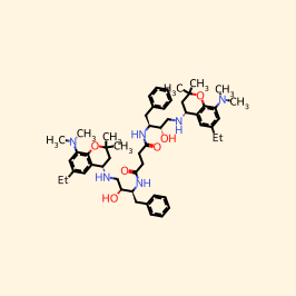 CCc1cc2c(c(N(C)C)c1)OC(C)(C)C[C@@H]2NC[C@H](O)[C@H](Cc1ccccc1)NC(=O)CCC(=O)N[C@@H](Cc1ccccc1)[C@@H](O)CN[C@@H]1CC(C)(C)Oc2c1cc(CC)cc2N(C)C